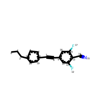 CCCc1ccc(C#Cc2cc(F)c(C#N)c(F)c2)cc1